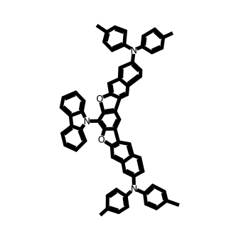 Cc1ccc(N(c2ccc(C)cc2)c2ccc3cc4c(cc3c2)oc2c(-n3c5ccccc5c5ccccc53)c3oc5cc6cc(N(c7ccc(C)cc7)c7ccc(C)cc7)ccc6cc5c3cc24)cc1